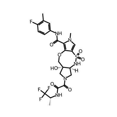 Cc1cc(NC(=O)c2c3c(cn2C)S(=O)(=O)N[C@H]2CN(C(=O)C(=O)N[C@H](C)C(F)(F)F)C[C@@]2(O)CO3)ccc1F